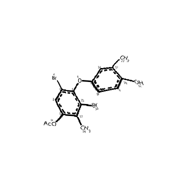 CC(=O)Oc1cc(Br)c(Oc2ccc(O)c(C)c2)c(Br)c1C